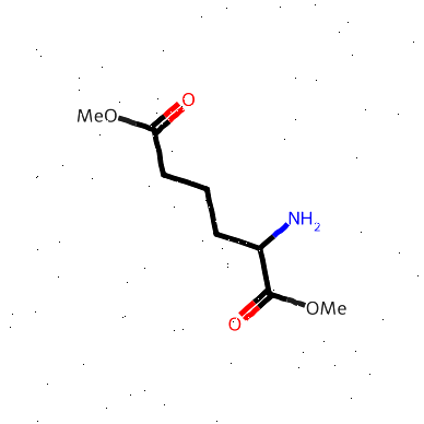 COC(=O)CCCC(N)C(=O)OC